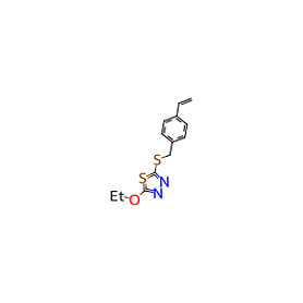 C=Cc1ccc(CSc2nnc(OCC)s2)cc1